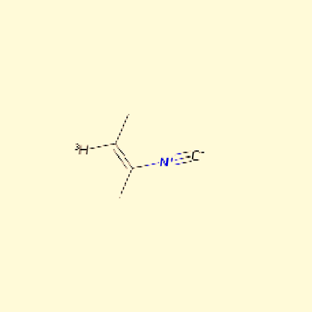 [3H]C(C)=C(C)[N+]#[C-]